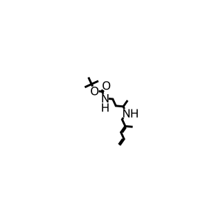 C=C/C=C(\C)CNC(C)CCNC(=O)OC(C)(C)C